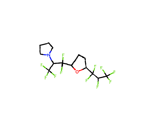 FC(C(F)(F)F)C(F)(F)C1CCC(C(F)(F)C(N2CCCC2)C(F)(F)F)O1